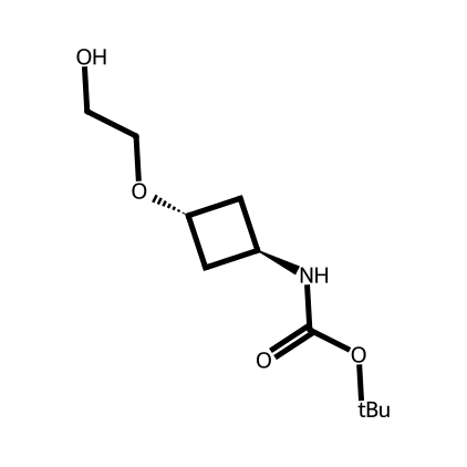 CC(C)(C)OC(=O)N[C@H]1C[C@H](OCCO)C1